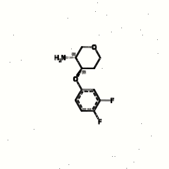 N[C@@H]1COCC[C@H]1Oc1ccc(F)c(F)c1